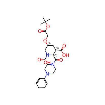 CC(C)(C)OC(=O)CO[C@H]1C[C@H](C(=O)O)[C@@H](C(=O)N2CCN(c3ccccc3)CC2)N(C(=O)O)C1